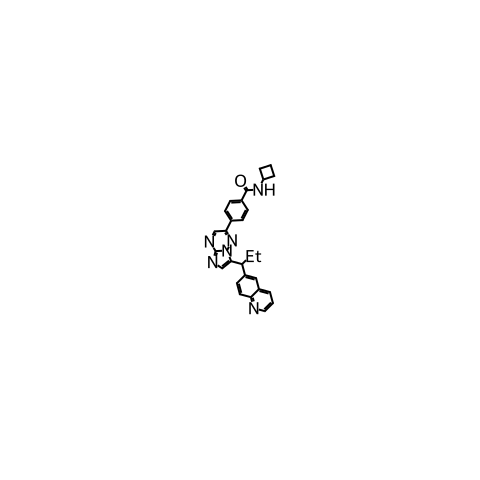 CCC(c1ccc2ncccc2c1)c1cnc2ncc(-c3ccc(C(=O)NC4CCC4)cc3)nn12